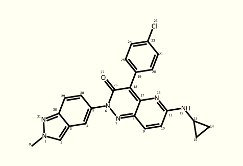 Cn1cc2cc(-n3nc4ccc(NC5CC5)nc4c(-c4ccc(Cl)cc4)c3=O)ccc2n1